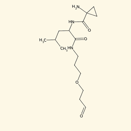 CC(C)CC(NC(=O)C1(N)CC1)C(=O)NCCCOCCC=O